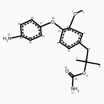 COc1cc(CC(C)(C)OC(N)=O)ccc1Oc1ccc(N)cc1